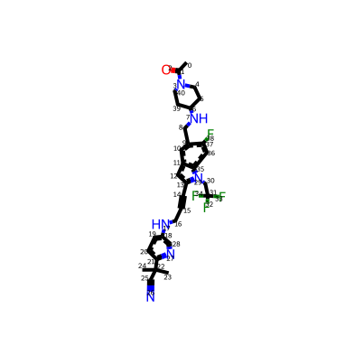 CC(=O)N1CCC(NCc2cc3cc(C#CCNc4ccc(C(C)(C)C#N)nc4)n(CC(F)(F)F)c3cc2F)CC1